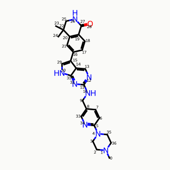 CN1CCN(c2ccc(CNc3ncc4c(-c5ccc6c(c5)C(C)(C)CNC6=O)c[nH]c4n3)cn2)CC1